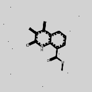 C=c1c(=O)[nH]c2c(C(=O)OC)cccc2c1=C